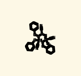 N#CP1N=P(C#N)(C#N)N(Oc2ccccc2)[PH](C#N)(Oc2ccccc2)N1Oc1ccccc1